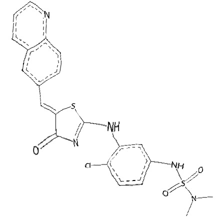 CN(C)S(=O)(=O)Nc1ccc(Cl)c(NC2=NC(=O)/C(=C/c3ccc4ncccc4c3)S2)c1